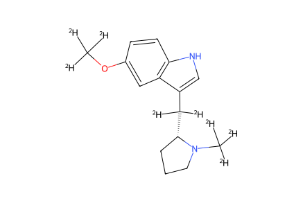 [2H]C([2H])([2H])Oc1ccc2[nH]cc(C([2H])([2H])[C@H]3CCCN3C([2H])([2H])[2H])c2c1